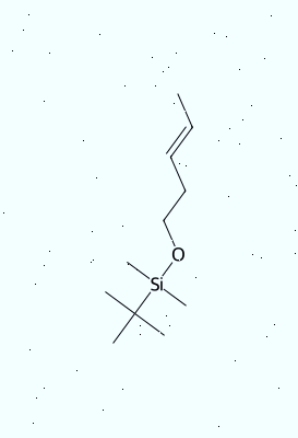 C/C=C/CCO[Si](C)(C)C(C)(C)C